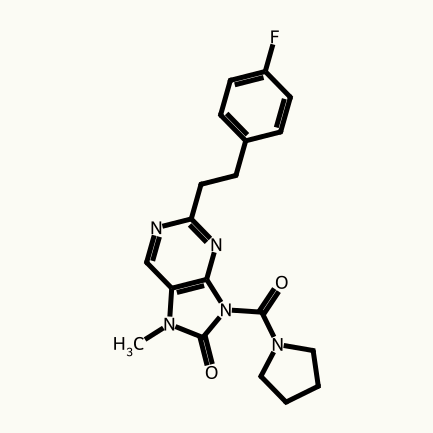 Cn1c(=O)n(C(=O)N2CCCC2)c2nc(CCc3ccc(F)cc3)ncc21